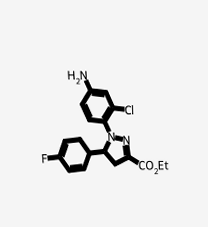 CCOC(=O)C1=NN(c2ccc(N)cc2Cl)C(C2C=CC(F)=CC2)C1